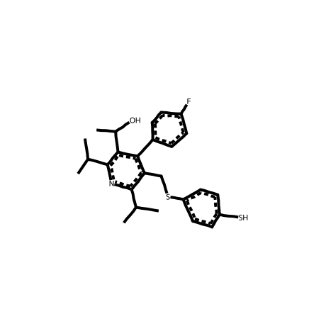 CC(C)c1nc(C(C)C)c(C(C)O)c(-c2ccc(F)cc2)c1CSc1ccc(S)cc1